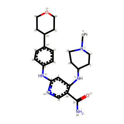 CCCN1CCC(Nc2cc(Nc3ccc(C4CCOCC4)cc3)ncc2C(N)=O)CC1